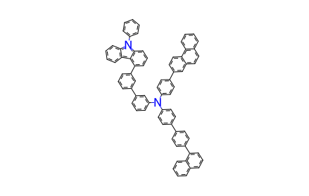 c1ccc(-n2c3ccccc3c3c(-c4cccc(-c5cccc(N(c6ccc(-c7ccc(-c8cccc9ccccc89)cc7)cc6)c6ccc(-c7ccc8c(ccc9ccccc98)c7)cc6)c5)c4)cccc32)cc1